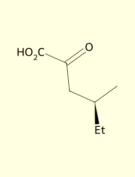 CC[C@H](C)CC(=O)C(=O)O